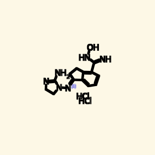 Cl.Cl.N=C(NO)c1cccc2c1CC/C2=N\N1CCN=C1N